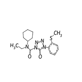 CCN(C(=O)n1nnn(-c2ccccc2SC)c1=O)C1CCCCC1